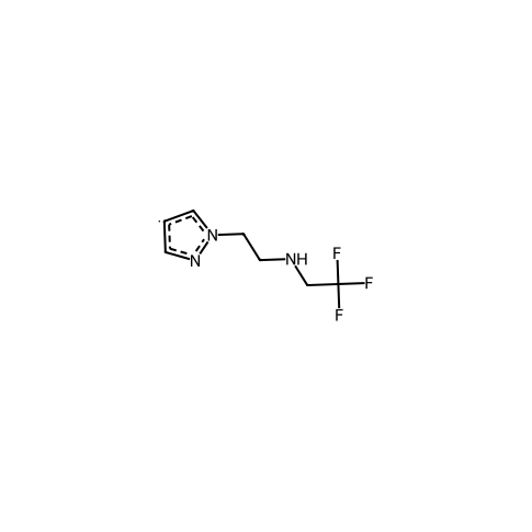 FC(F)(F)CNCCn1c[c]cn1